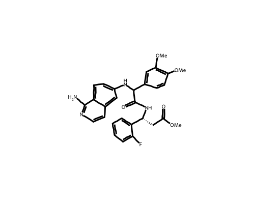 COC(=O)C[C@@H](NC(=O)C(Nc1ccc2c(N)nccc2c1)c1ccc(OC)c(OC)c1)c1ccccc1F